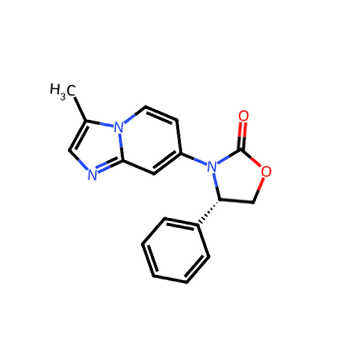 Cc1cnc2cc(N3C(=O)OC[C@@H]3c3ccccc3)ccn12